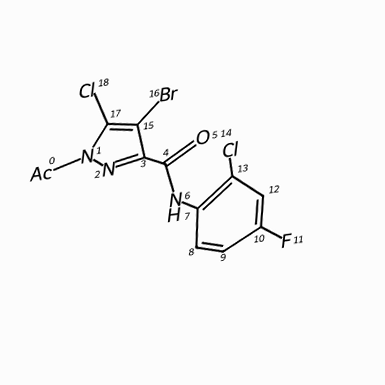 CC(=O)n1nc(C(=O)Nc2ccc(F)cc2Cl)c(Br)c1Cl